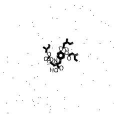 CCC(C)COC(=O)O[C@@H](C)CC(N)(Cc1ccc(OC(=O)CC(C)CC)c(OC(=O)CC(C)CC)c1)C(=O)O